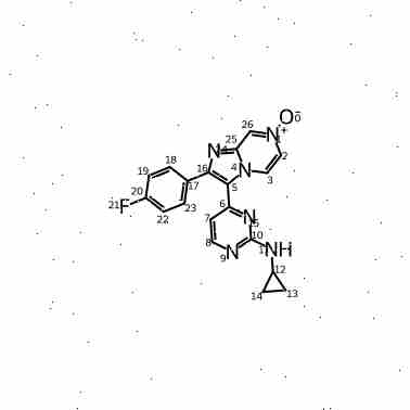 [O-][n+]1ccn2c(-c3ccnc(NC4CC4)n3)c(-c3ccc(F)cc3)nc2c1